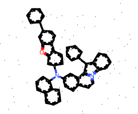 c1ccc(-c2ccc3c(c2)oc2cc(N(c4ccc5ccn6c7ccccc7c(-c7ccccc7)c6c5c4)c4cccc5ccccc45)ccc23)cc1